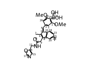 COc1cc(/C=C2/C(C)=C(CC(=O)NCc3cnco3)c3cc(F)ccc32)cc(OC)c1B(O)O